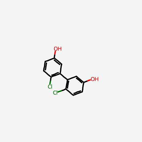 Oc1ccc(Cl)c(-c2cc(O)ccc2Cl)c1